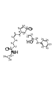 O=C(CCC/C=C\C[C@H]1C=CC(=O)[C@@H]1/C=C/[C@@H](O)CCc1ccccc1)NC1CC1